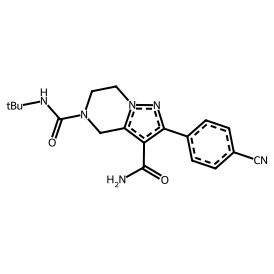 CC(C)(C)NC(=O)N1CCn2nc(-c3ccc(C#N)cc3)c(C(N)=O)c2C1